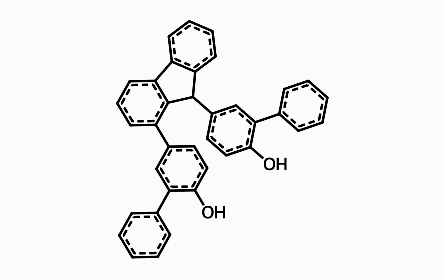 Oc1ccc(-c2cccc3c2C(c2ccc(O)c(-c4ccccc4)c2)c2ccccc2-3)cc1-c1ccccc1